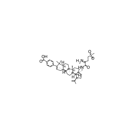 C=C(C)[C@@H]1CC[C@]2(CNC(=O)[C@H](N)CCS(C)(=O)=O)CC[C@]3(C)[C@H](CC[C@@H]4[C@@]5(C)CC=C(c6ccc(C(=O)O)cc6)C(C)(C)[C@@H]5CC[C@]43C)[C@@H]12